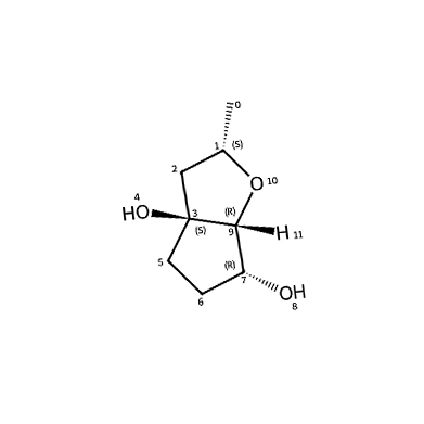 C[C@H]1C[C@@]2(O)CC[C@@H](O)[C@H]2O1